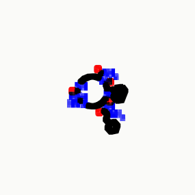 N=C1NCCC[C@@H](NC(=O)C(N)Cc2ccccc2)C(=O)N[C@@H](CC23CC4CC(CC(C4)C2)C3)C(=O)N[C@H](C(N)=O)CCCCNC(=O)N1